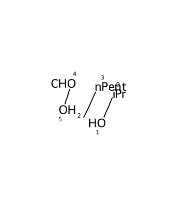 CC(C)O.CCCCCC.O=CO